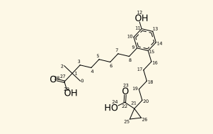 CC(C)(CCCCCCc1cc(O)ccc1CCCCCC1(C(=O)O)CC1)C(=O)O